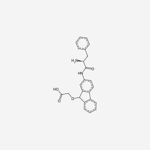 N[C@@H](Cc1ccccc1)C(=O)Nc1ccc2c(c1)C(OCC(=O)O)c1ccccc1-2